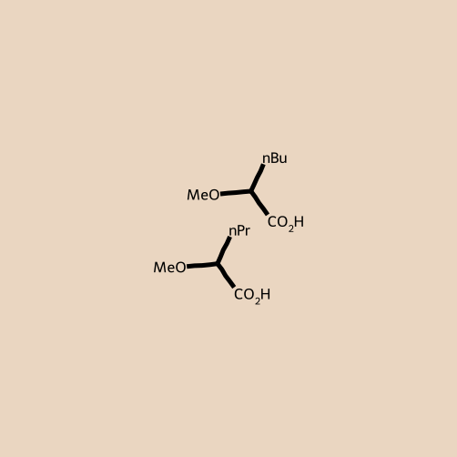 CCCC(OC)C(=O)O.CCCCC(OC)C(=O)O